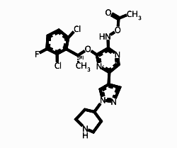 CC(=O)ONc1ncc(-c2cnn(C3CCNCC3)c2)nc1O[C@H](C)c1c(Cl)ccc(F)c1Cl